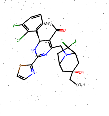 COC(=O)C1=C(CN2C3CC(F)(F)C2C[C@](O)(CC(=O)O)C3)N=C(c2nccs2)N[C@H]1c1cccc(F)c1Cl